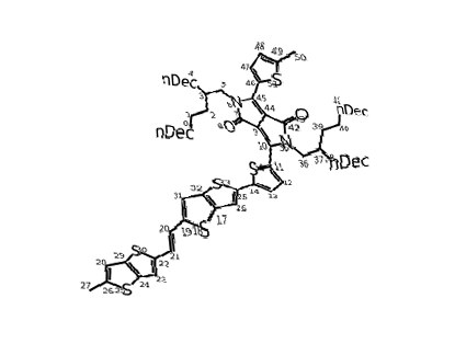 CCCCCCCCCCCCC(CCCCCCCCCC)CN1C(=O)C2=C(c3ccc(-c4cc5sc(/C=C/c6cc7sc(C)cc7s6)cc5s4)s3)N(CC(CCCCCCCCCC)CCCCCCCCCCCC)C(=O)C2=C1c1ccc(C)s1